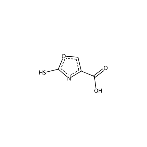 O=C(O)c1coc(S)n1